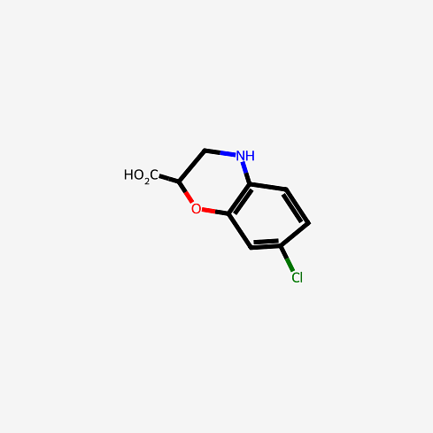 O=C(O)C1CNc2ccc(Cl)cc2O1